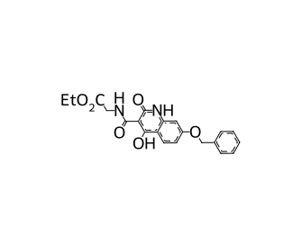 CCOC(=O)CNC(=O)c1c(O)c2ccc(OCc3ccccc3)cc2[nH]c1=O